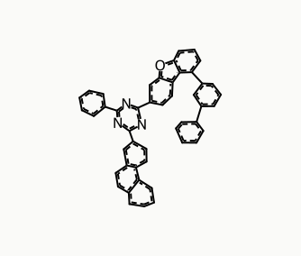 c1ccc(-c2cccc(-c3cccc4oc5cc(-c6nc(-c7ccccc7)nc(-c7ccc8c(ccc9ccccc98)c7)n6)ccc5c34)c2)cc1